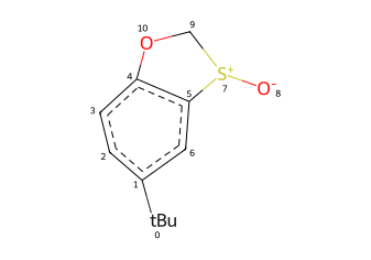 CC(C)(C)c1ccc2c(c1)[S+]([O-])CO2